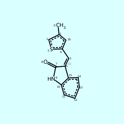 Cc1csc(/C=C2\C(=O)Nc3ccccc32)c1